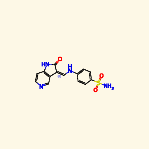 NS(=O)(=O)c1ccc(N/C=C2\C(=O)Nc3ccncc32)cc1